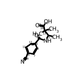 CC(NC(=O)c1ccc(C#N)cc1)C(C)(C)C(=O)O